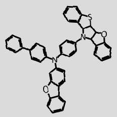 c1ccc(-c2ccc(N(c3ccc(N4C5c6ccccc6OC5C5Sc6ccccc6C54)cc3)c3ccc4c(c3)oc3ccccc34)cc2)cc1